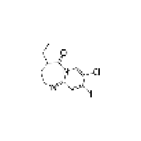 CCC1CCN=C2C=C(I)C(Cl)=CN2C1=O